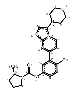 C[C@@H]1CCCN1C(=O)Nc1ccc(F)c(-c2ccn3c(N4CCOCC4)cnc3n2)c1